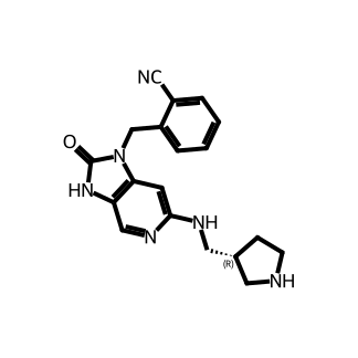 N#Cc1ccccc1Cn1c(=O)[nH]c2cnc(NC[C@@H]3CCNC3)cc21